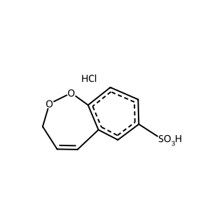 Cl.O=S(=O)(O)c1ccc2c(c1)C=CCOO2